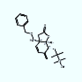 C=C1C=C[C@]2(NOCc3ccccc3)CC(=O)O[C@@H]2[C@@H]1CC(C)(C)[Si](C)(C)O